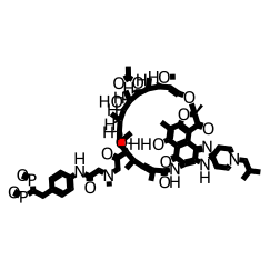 CO[C@H]1/C=C/O[C@@]2(C)Oc3c(C)c(O)c4c(c3C2=O)C2=NC3(CCN(CC(C)C)CC3)NC2=C(NC(=O)/C(C)=C\C(C)C2(C(=O)CN(C)CC(=O)Nc3ccc(CC(P=O)P=O)cc3)O[C@H]([C@@H](C)[C@@H](O)[C@@H](C)[C@H](OC(C)=O)[C@@H]1C)[C@H]2C)C4=O